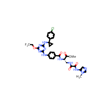 COC(=O)[C@H](CNC(=O)C(=O)Nc1cncn1C)NC(=O)c1ccc(Nc2nc(NC3(c4ccc(Cl)cc4)CC3)nc(OCC(F)(F)F)n2)cc1